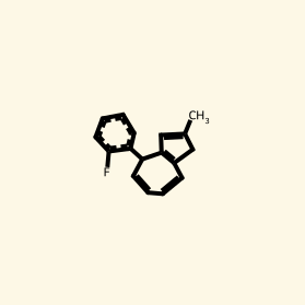 CC1=CC2=C(C=CC=CC2c2ccccc2F)C1